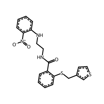 O=C(NCCNc1ccccc1[N+](=O)[O-])c1ccccc1SCc1ccsc1